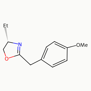 CC[C@H]1COC(Cc2ccc(OC)cc2)=N1